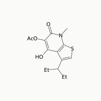 CCC(CC)c1csc2c1c(O)c(OC(C)=O)c(=O)n2C